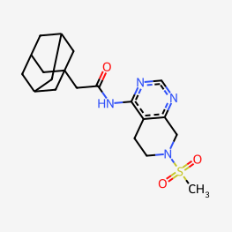 CS(=O)(=O)N1CCc2c(ncnc2NC(=O)CC23CC4CC(CC(C4)C2)C3)C1